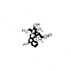 C/C=C\[N+]1=Cc2cc(C(C)(C)C)c3ccccc3c2C(C)(CCOC)C1(C)CCO